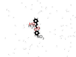 C/C(=C\c1ccccc1O)C(=O)Oc1ccc([N+](=O)[O-])cc1